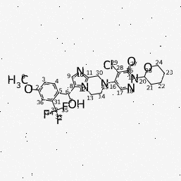 COc1ccc(C(O)c2cnc3n2CCN(c2cnn(C4CCCCO4)c(=O)c2Cl)C3)c(C(F)(F)F)c1